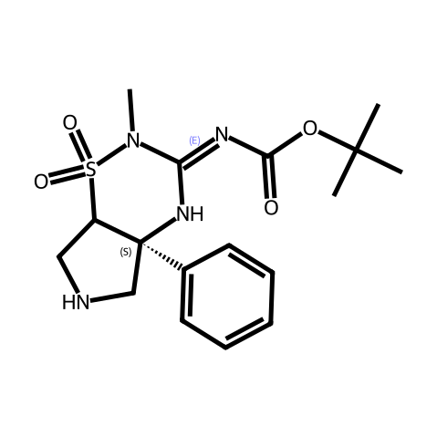 CN1/C(=N/C(=O)OC(C)(C)C)N[C@@]2(c3ccccc3)CNCC2S1(=O)=O